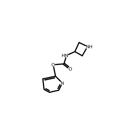 O=C(NC1CNC1)Oc1ccccn1